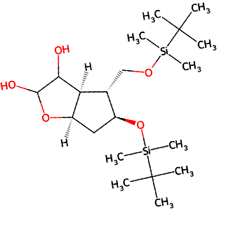 CC(C)(C)[Si](C)(C)OC[C@H]1[C@@H]2C(O)C(O)O[C@@H]2C[C@@H]1O[Si](C)(C)C(C)(C)C